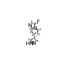 Ic1cnc2cc(-c3cn[nH]c3)ccn12